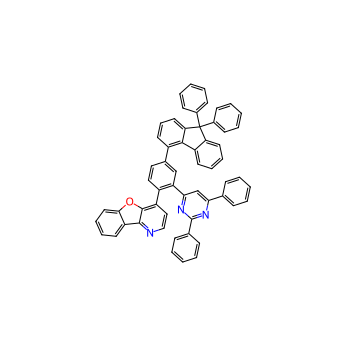 c1ccc(-c2cc(-c3cc(-c4cccc5c4-c4ccccc4C5(c4ccccc4)c4ccccc4)ccc3-c3ccnc4c3oc3ccccc34)nc(-c3ccccc3)n2)cc1